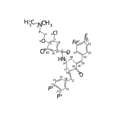 CN(C)CCOc1c(Cl)cc(C(=O)NC2C/C(=C\c3ccc(F)c(F)c3)C(=O)/C(=C/c3ccc(F)c(F)c3)C2)cc1Cl